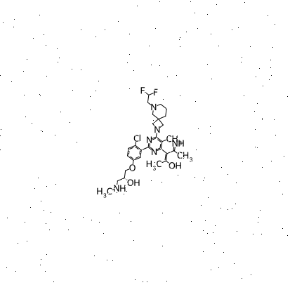 CNC[C@@H](O)COc1ccc(Cl)c(-c2nc(/C(C(C)=N)=C(\C)O)c(C)c(N3CC4(CCCN(CC(F)F)C4)C3)n2)c1